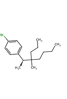 CCCCC(C)(CCC)[C@@H](C)c1ccc(Br)cc1